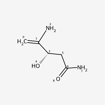 C=C(N)[C@@H](O)CC(N)=O